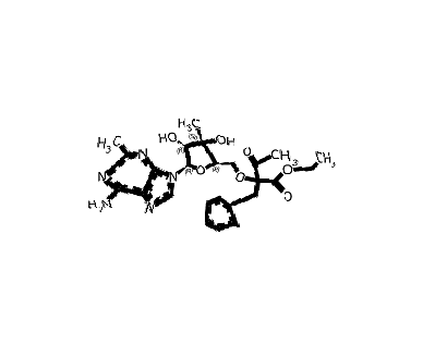 CCOC(=O)C(Cc1ccccc1)(OC[C@H]1O[C@@H](n2cnc3c(N)nc(C)nc32)[C@H](O)[C@]1(C)O)C(C)=O